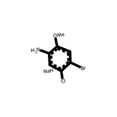 COc1cc(Br)c(Cl)cc1N.[NaH]